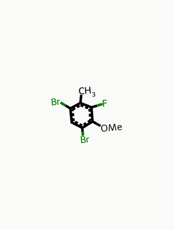 COc1c(Br)cc(Br)c(C)c1F